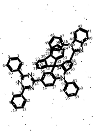 c1ccc(-c2nc(-c3ccccc3)nc(-c3ccc4c(c3)C3(c5ccccc5-c5ccccc53)c3cc(-c5nc6ccccc6n5-c5ccccc5)ccc3N4c3ccccc3)n2)cc1